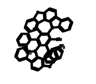 CC(C)(C)c1c(-c2ccccc2C(F)(F)F)c(-n2c3ccccc3c3ccc4sc5ccccc5c4c32)c(-c2ccccc2C(F)(F)F)c(C(C)(C)C)c1-n1c2ccccc2c2ccc3sc4ccccc4c3c21